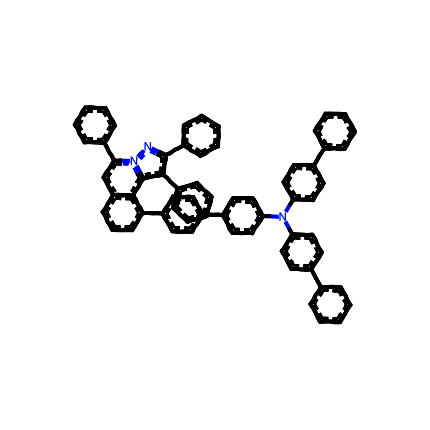 c1ccc(-c2ccc(N(c3ccc(-c4ccccc4)cc3)c3ccc(-c4ccc(-c5cccc6cc(-c7ccccc7)n7nc(-c8ccccc8)c(-c8ccccc8)c7c56)cc4)cc3)cc2)cc1